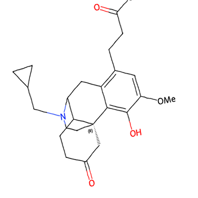 COC(=O)CCc1cc(OC)c(O)c2c1CC1C3CCC(=O)C[C@@]23CCN1CC1CC1